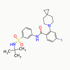 CC(C)(C)NS(=O)(=O)c1cccc(NC(=O)c2ccc(I)cc2N2CCC3(CC2)CC3)c1